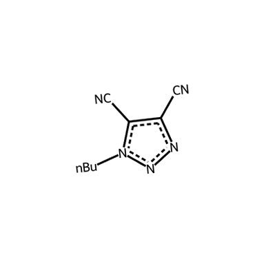 CCCCn1nnc(C#N)c1C#N